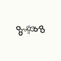 O=C(NC(Cc1ccc(-c2cccc3ccccc23)cc1)C(=O)O)OCC1c2ccccc2-c2ccccc21